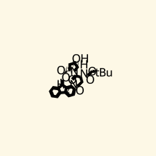 CC(C)(C)OC(=O)NC(CC(N)=O)C(=O)N1C[C@H](O)C[C@H]1C(=O)OCC1c2ccccc2-c2ccccc21